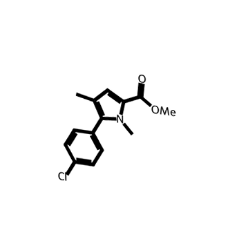 COC(=O)c1cc(C)c(-c2ccc(Cl)cc2)n1C